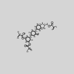 C=C(C)C(=O)OCC1Cc2ccc(-c3ccc(-c4cc(OC(=O)C(=C)C)cc(OC(=O)C(=C)C)c4)cc3F)cc2C1